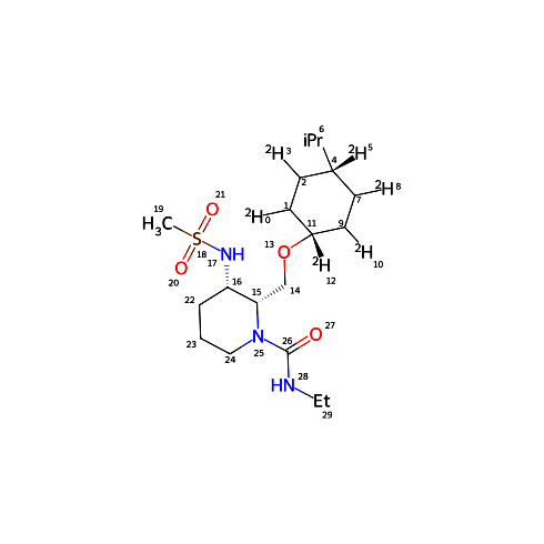 [2H]C1C([2H])[C@]([2H])(C(C)C)C([2H])C([2H])[C@]1([2H])OC[C@H]1[C@@H](NS(C)(=O)=O)CCCN1C(=O)NCC